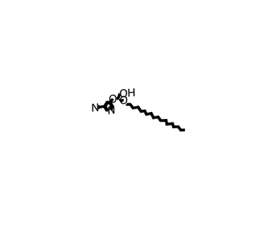 CCCCCCCCCCCCCCCCCCOC[C@H](CO)Oc1cncc(C#N)c1